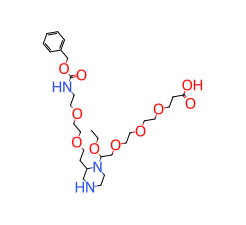 CCOC(COCCOCCOCCC(=O)O)N1CCNCC1CCOCCOCCNC(=O)OCc1ccccc1